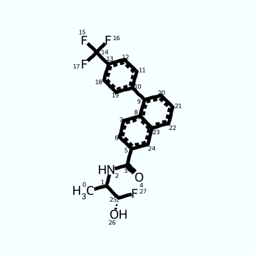 CC(NC(=O)c1ccc2c(-c3ccc(C(F)(F)F)cc3)cccc2c1)[C@@H](O)F